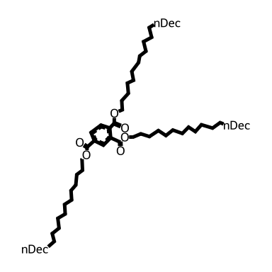 CCCCCCCCCCCCCCCCCCCCCCOC(=O)c1ccc(C(=O)OCCCCCCCCCCCCCCCCCCCCCC)c(C(=O)OCCCCCCCCCCCCCCCCCCCCCC)c1